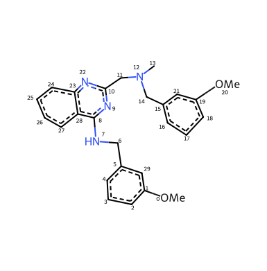 COc1cccc(CNc2nc(CN(C)Cc3cccc(OC)c3)nc3ccccc23)c1